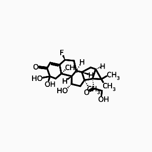 CC1(C)[C@@H]2C[C@H]3[C@@H]4C[C@H](F)C5=CC(=O)C(O)(O)C[C@]5(C)[C@H]4[C@@H](O)C[C@]3(C)[C@@]21C(=O)CO